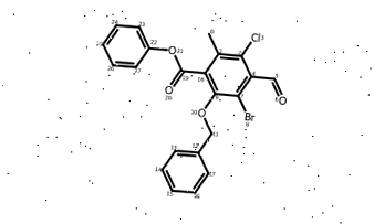 Cc1c(Cl)c(C=O)c(Br)c(OCc2ccccc2)c1C(=O)Oc1ccccc1